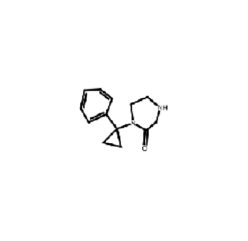 O=C1CNCCN1C1(c2ccccc2)CC1